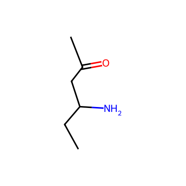 CCC(N)CC(C)=O